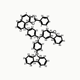 c1ccc(-c2nc3ccc4cccc(-c5ccc(N(c6ccc(-n7c8ccccc8c8ccccc87)cc6)c6ccc7oc8ccccc8c7c6)cc5)c4c3o2)cc1